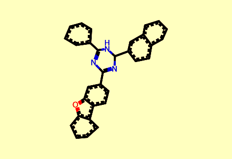 c1ccc(C2=NC(c3ccc4c(c3)oc3ccccc34)=NC(c3ccc4ccccc4c3)N2)cc1